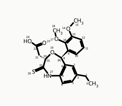 CCc1ccc2c(c1)[C@H](c1cccc(OC)c1OC)O[C@@H](CC(=O)O)C(=S)N2